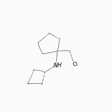 ClCC1(NC2CCC2)CCCC1